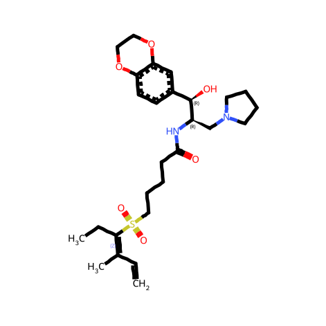 C=C/C(C)=C(/CC)S(=O)(=O)CCCCC(=O)N[C@H](CN1CCCC1)[C@H](O)c1ccc2c(c1)OCCO2